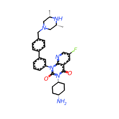 C[C@@H]1CN(Cc2ccc(-c3cccc(-n4c(=O)n([C@H]5CC[C@@H](N)CC5)c(=O)c5cc(F)cnc54)c3)cc2)C[C@H](C)N1